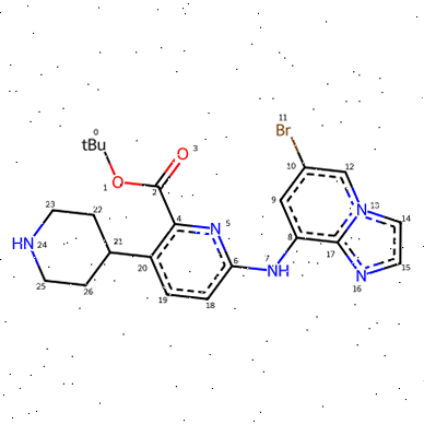 CC(C)(C)OC(=O)c1nc(Nc2cc(Br)cn3ccnc23)ccc1C1CCNCC1